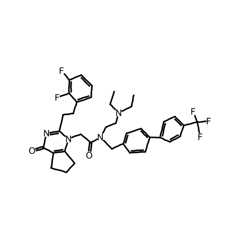 CCN(CC)CCN(Cc1ccc(-c2ccc(C(F)(F)F)cc2)cc1)C(=O)Cn1c(CCc2cccc(F)c2F)nc(=O)c2c1CCC2